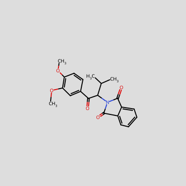 COc1ccc(C(=O)C(C(C)C)N2C(=O)c3ccccc3C2=O)cc1OC